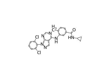 Cc1ccc(C(=O)NC2CC2)cc1Nc1ncnc2c1cnn2-c1c(Cl)cccc1Cl